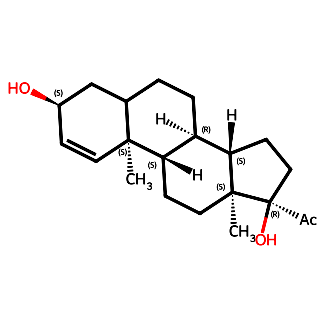 CC(=O)[C@@]1(O)CC[C@H]2[C@@H]3CCC4C[C@H](O)C=C[C@]4(C)[C@H]3CC[C@@]21C